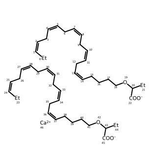 CC/C=C\C/C=C\C/C=C\C/C=C\C/C=C\CCCCOC(CC)C(=O)[O-].CC/C=C\C/C=C\C/C=C\C/C=C\C/C=C\CCCCOC(CC)C(=O)[O-].[Ca+2]